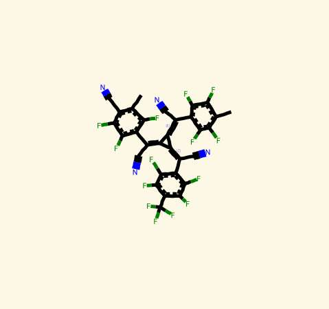 Cc1c(F)c(F)c(/C(C#N)=C2/C(=C(C#N)c3c(F)c(C)c(C#N)c(F)c3F)/C2=C(/C#N)c2c(F)c(F)c(C(F)(F)F)c(F)c2F)c(F)c1F